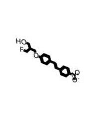 O=[N+]([O-])c1ccc(C=Cc2ccc(OCC(CO)CF)cc2)cc1